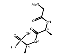 CNCC(=O)N[C@@H](C)C(=O)N[C@@H](C)P(=O)(O)O